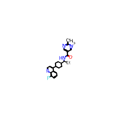 CCC(NC(=O)c1cnc(C)nc1)C1CCC(c2ccnc3c(F)cccc23)CC1